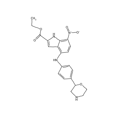 CCOC(=O)c1cc2c(Nc3ccc(C4CNCCO4)cc3)ccc([N+](=O)[O-])c2[nH]1